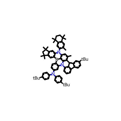 Cc1cc2c(cc1N1c3cc4c(cc3B3c5ccc(N(c6ccc(C(C)(C)C)cc6)c6ccc(C(C)(C)C)cc6)cc5N5c6cccc7c6C(C)(c6cc(C(C)(C)C)ccc6-7)c6c(C)cc1c3c65)C(C)(C)CC4(C)C)C(C)(C)CCC2(C)C